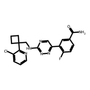 NC(=O)c1ccc(F)c(-c2cnc(NCC3(c4ncccc4Cl)CCC3)nn2)c1